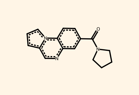 O=C(c1ccc2c(c1)ncc1cccn12)N1CCCC1